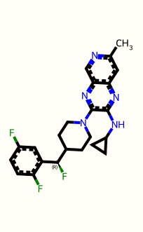 Cc1cc2nc(NC3CC3)c(N3CCC([C@@H](F)c4cc(F)ccc4F)CC3)nc2cn1